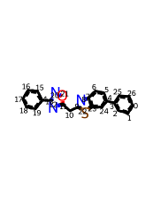 c1ccc(-c2ccc3nc(Cc4nc(-c5ccccc5)no4)sc3c2)cc1